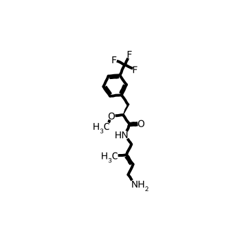 CO[C@@H](Cc1cccc(C(F)(F)F)c1)C(=O)NC/C(C)=C/CN